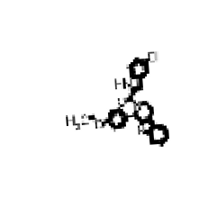 CCOc1ccc([C@@H]2c3[nH]c4ccccc4c3CCN2C(=O)c2cc3cc(Cl)ccc3[nH]2)cc1